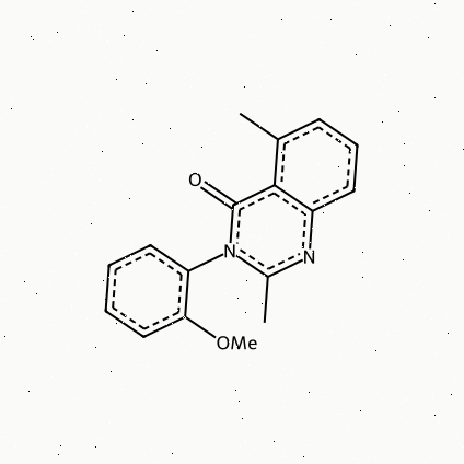 COc1ccccc1-n1c(C)nc2cccc(C)c2c1=O